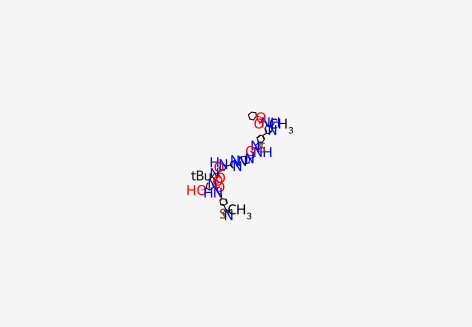 Cc1ncc(-c2ccc3nc(NC(=O)CN4CCN(c5ncc(-c6cc(C(=O)N[C@H](C(=O)N7C[C@H](O)C[C@H]7C(=O)NCc7ccc(-c8scnc8C)cc7)C(C)(C)C)on6)cn5)CC4)sc3c2)cc1NC(=O)OC1CCCCC1